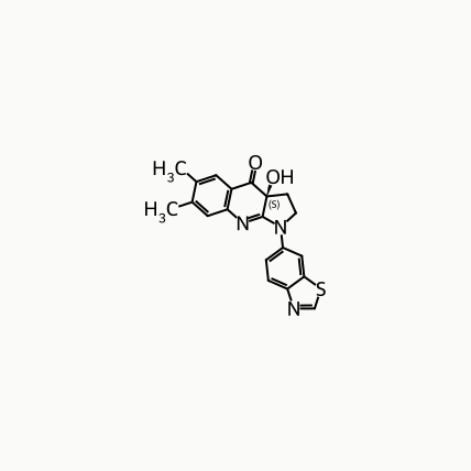 Cc1cc2c(cc1C)C(=O)[C@]1(O)CCN(c3ccc4ncsc4c3)C1=N2